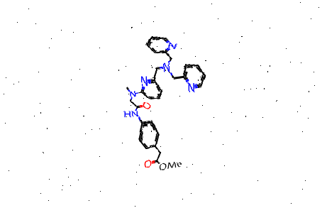 COC(=O)Cc1ccc(NC(=O)CN(C)c2cccc(CN(Cc3ccccn3)Cc3ccccn3)n2)cc1